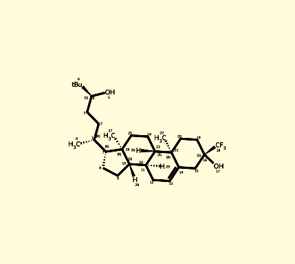 C[C@H](CC[C@H](O)C(C)(C)C)[C@H]1CC[C@H]2[C@@H]3CC=C4C[C@](O)(C(F)(F)F)CC[C@]4(C)[C@H]3CC[C@]12C